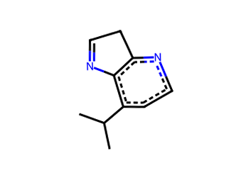 CC(C)c1ccnc2c1N=CC2